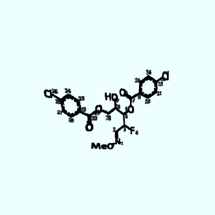 CON=CC(F)C(OC(=O)c1ccc(Cl)cc1)C(O)COC(=O)c1ccc(Cl)cc1